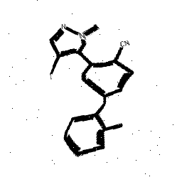 Cc1ccccc1-c1ccc(C#N)c(-c2c(I)cnn2C)c1